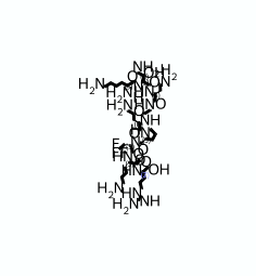 N=C(N)NCC/C=C(\NC(=O)[C@H](CCCCN)NC(=O)[C@H](CC(F)(F)F)NC(=O)[C@@H]1CCCN1C(=O)[C@@H](CCCN)NC(=O)CNC(=O)[C@H](CCN)NC(=O)[C@@H](NC(=O)[C@@H](N)CCCCN)[C@@H](O)CN)C(=O)O